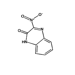 O=c1[nH]c2ccccc2nc1[N+](=O)[O-]